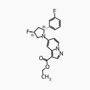 CCOC(=O)c1cnn2ccc(N3C[C@@H](F)C[C@@H]3c3cccc(F)c3)cc12